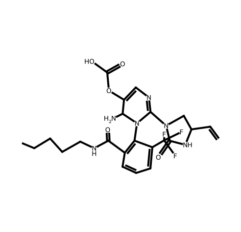 C=CC1CN(C2=NC=C(OC(=O)O)C(N)N2c2c(C(=O)NCCCCC)cccc2C(F)(F)F)C(=O)N1